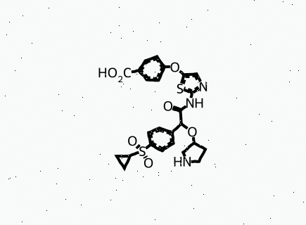 O=C(O)c1ccc(Oc2cnc(NC(=O)C(OC3CCNC3)c3ccc(S(=O)(=O)C4CC4)cc3)s2)cc1